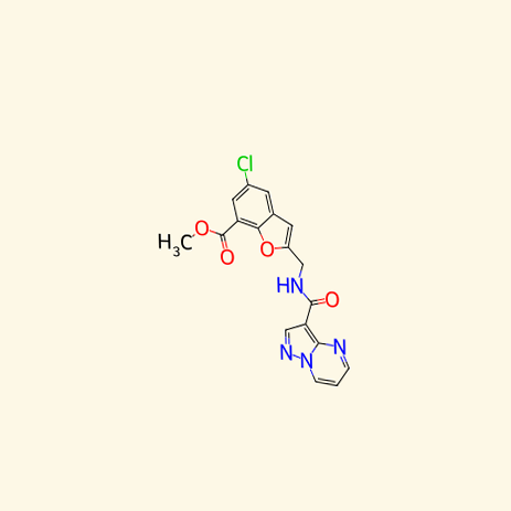 COC(=O)c1cc(Cl)cc2cc(CNC(=O)c3cnn4cccnc34)oc12